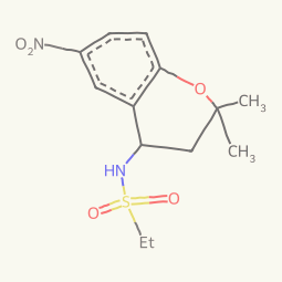 CCS(=O)(=O)NC1CC(C)(C)Oc2ccc([N+](=O)[O-])cc21